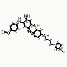 CCOc1ccc(NC2=C/C(=N/c3ccc(NCCCn4cc[n+](C)c4)cc3)C(N)=CC2=N)cc1